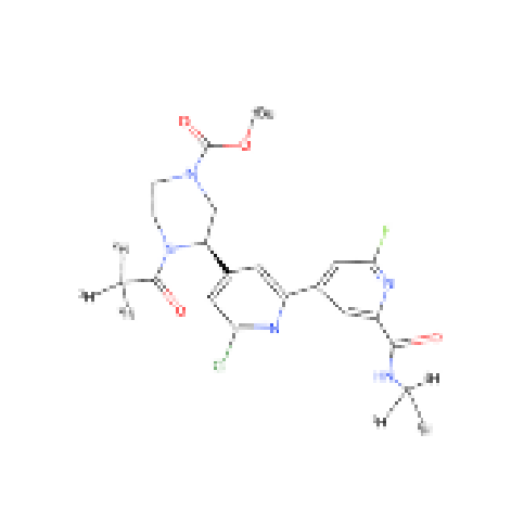 [2H]C([2H])([2H])NC(=O)c1cc(-c2cc([C@@H]3CN(C(=O)OC(C)(C)C)CCN3C(=O)C([2H])([2H])[2H])cc(Cl)n2)cc(F)n1